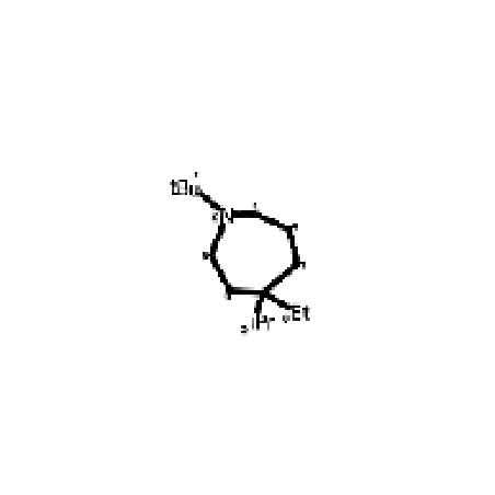 CCC1(C(C)C)CCCN(C(C)(C)C)CC1